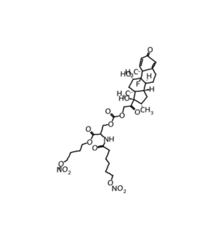 C[C@H]1C[C@H]2[C@@H]3CCC4=CC(=O)C=C[C@]4(C)[C@@]3(F)[C@@H](O)C[C@]2(C)[C@@]1(O)C(=O)COC(=O)OCC(NC(=O)CCCCCO[N+](=O)[O-])C(=O)OCCCCO[N+](=O)[O-]